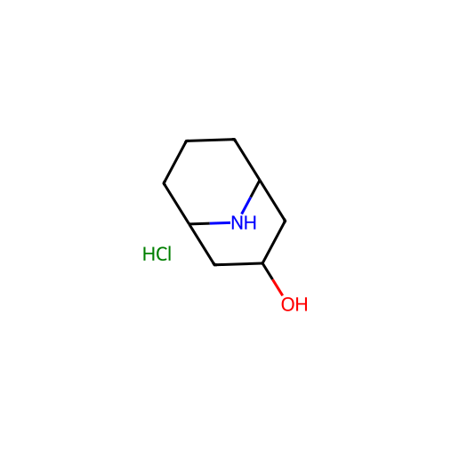 Cl.OC1CC2CCCC(C1)N2